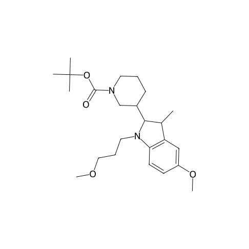 COCCCN1c2ccc(OC)cc2C(C)C1C1CCCN(C(=O)OC(C)(C)C)C1